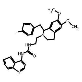 COc1cc2c(cc1OC)C(Cc1ccc(F)cc1)N(CCNC(=O)Nc1ccnc3ccccc13)CC2